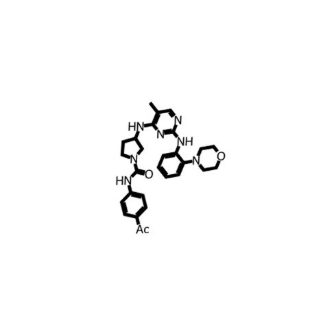 CC(=O)c1ccc(NC(=O)N2CCC(Nc3nc(Nc4ccccc4N4CCOCC4)ncc3C)C2)cc1